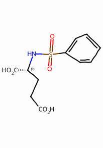 O=C(O)CC[C@@H](NS(=O)(=O)c1ccccc1)C(=O)O